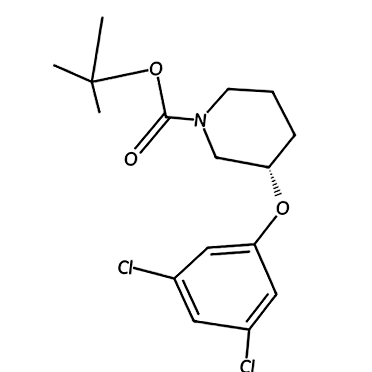 CC(C)(C)OC(=O)N1CCC[C@H](Oc2cc(Cl)cc(Cl)c2)C1